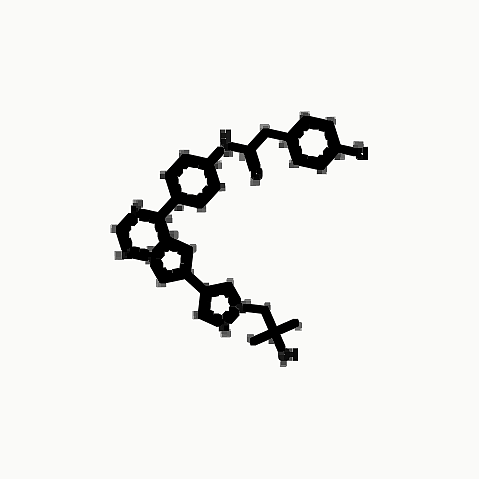 CC(C)(O)Cn1cc(-c2cc3c(-c4ccc(NC(=O)Cc5ccc(Cl)cc5)cc4)ncnn3c2)cn1